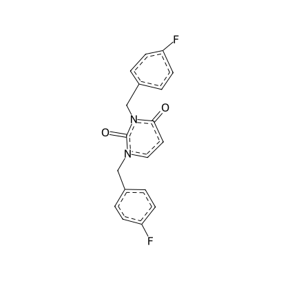 O=c1ccn(Cc2ccc(F)cc2)c(=O)n1Cc1ccc(F)cc1